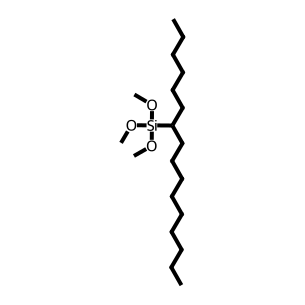 CCCCCCCCCC(CCCCCC)[Si](OC)(OC)OC